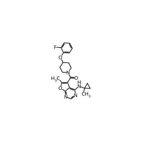 Cc1oc2ncnc(NC3(C)CC3)c2c1C(=O)N1CCC(Oc2ccccc2F)CC1